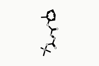 Cc1ccccc1OC(=O)N=NC(=O)O[Si](C)(C)C